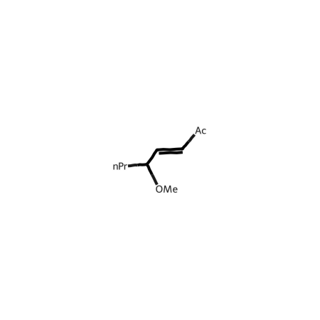 CCCC(/C=C/C(C)=O)OC